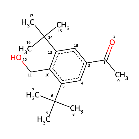 CC(=O)c1cc(C(C)(C)C)c(CO)c(C(C)(C)C)c1